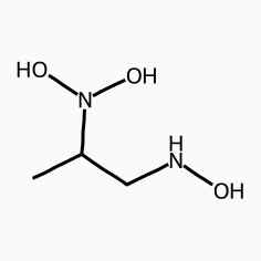 CC(CNO)N(O)O